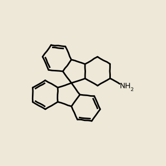 NC1CCC2C3C=CC=CC3C3(C4C=CC=CC4C4C=CC=CC43)C2C1